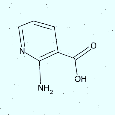 Nc1ncc[c]c1C(=O)O